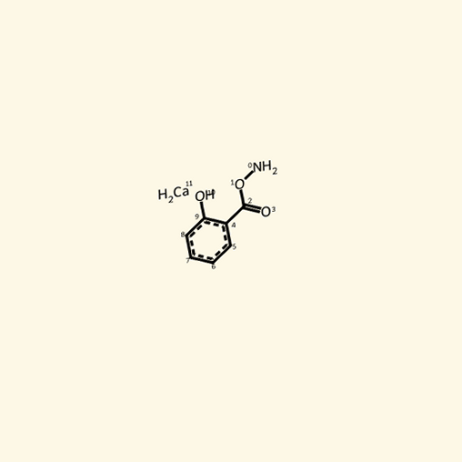 NOC(=O)c1ccccc1O.[CaH2]